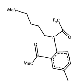 CNCCCCN(C(=O)C(F)(F)F)c1ccc(C)cc1C(=O)OC